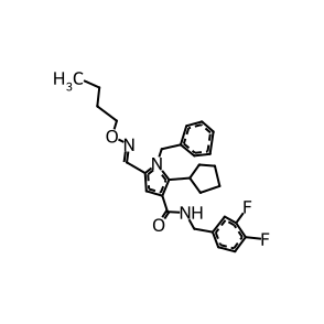 CCCCO/N=C/c1cc(C(=O)NCc2ccc(F)c(F)c2)c(C2CCCC2)n1Cc1ccccc1